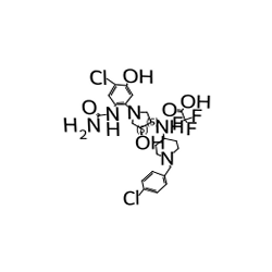 NC(=O)Nc1cc(Cl)c(O)cc1N1C[C@H](NC2CCN(Cc3ccc(Cl)cc3)CC2)[C@@H](O)C1.O=C(O)C(F)(F)F